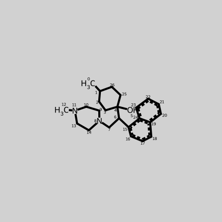 CC1CCC(O)(C(CN2CCN(C)CC2)c2cccc3ccccc23)CC1